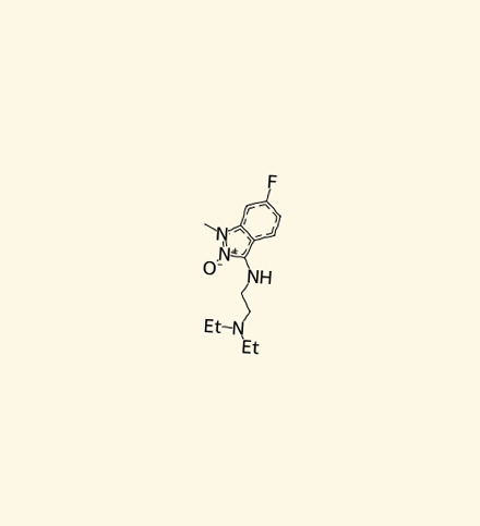 CCN(CC)CCNc1c2ccc(F)cc2n(C)[n+]1[O-]